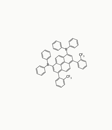 FC(F)(F)c1ccccc1-c1cc(B(c2ccccc2)c2ccccc2)c2ccc3c(B(c4ccccc4)c4ccccc4)cc(-c4ccccc4C(F)(F)F)c4ccc1c2c34